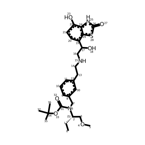 CC[C@@H](COC)N(Cc1cccc(CCNCC(O)c2ccc(O)c3[nH]c(=O)sc23)c1)C(=O)OC(C)(C)C